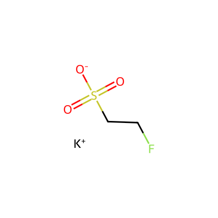 O=S(=O)([O-])CCF.[K+]